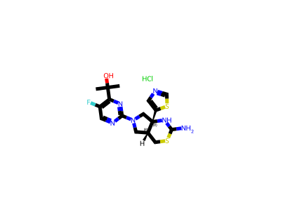 CC(C)(O)c1nc(N2C[C@H]3CSC(N)N[C@@]3(c3cncs3)C2)ncc1F.Cl